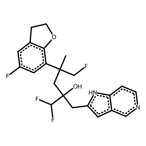 CC(CF)(CC(O)(Cc1cc2cnccc2[nH]1)C(F)F)c1cc(F)cc2c1OCC2